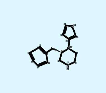 c1ccc(C[C@H]2CNCCN2c2ccoc2)cc1